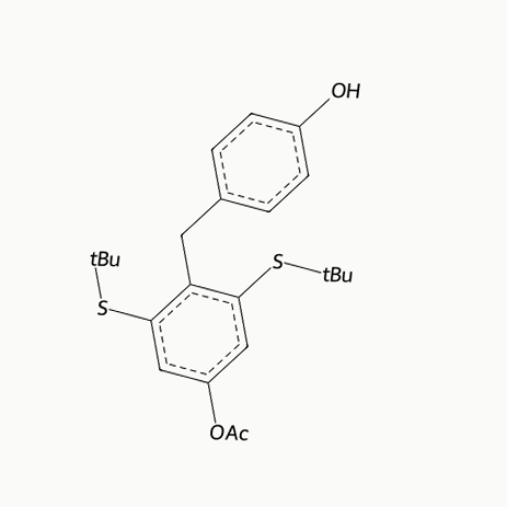 CC(=O)Oc1cc(SC(C)(C)C)c(Cc2ccc(O)cc2)c(SC(C)(C)C)c1